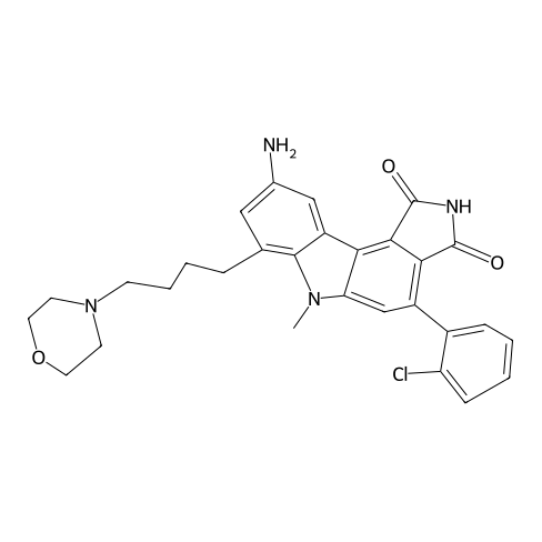 Cn1c2cc(-c3ccccc3Cl)c3c(c2c2cc(N)cc(CCCCN4CCOCC4)c21)C(=O)NC3=O